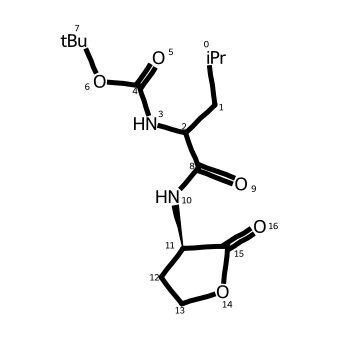 CC(C)CC(NC(=O)OC(C)(C)C)C(=O)N[C@@H]1CCOC1=O